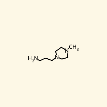 CN1CCN(CC[CH]N)CC1